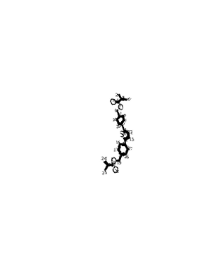 C=C(C)C(=O)OCc1ccc(-c2ccc(-c3ccc(COC(=O)C(=C)C)cc3)s2)cc1